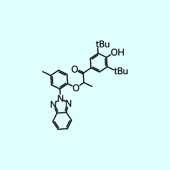 Cc1ccc(OC(C)C(=O)c2cc(C(C)(C)C)c(O)c(C(C)(C)C)c2)c(-n2nc3ccccc3n2)c1